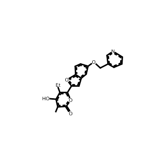 CCc1c(-c2cc3cc(OCc4cccnc4)ccc3o2)oc(=O)c(C)c1O